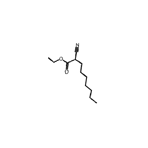 CCCCCCCC(C#N)C(=O)OCC